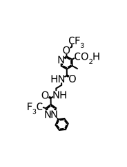 Cc1c(C(=O)NCCNC(=O)c2cn(-c3ccccc3)nc2C(F)(F)F)cnc(OCC(F)(F)F)c1C(=O)O